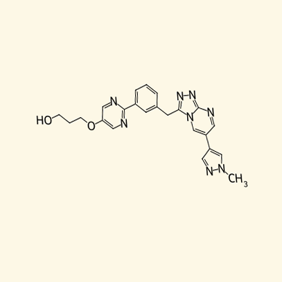 Cn1cc(-c2cnc3nnc(Cc4cccc(-c5ncc(OCCCO)cn5)c4)n3c2)cn1